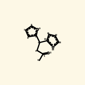 CC(=O)CC(c1ccco1)c1ccco1